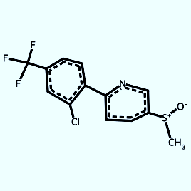 C[S+]([O-])c1ccc(-c2ccc(C(F)(F)F)cc2Cl)nc1